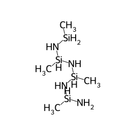 C[SiH2]N[SiH](C)N[SiH](C)N[SiH](C)N